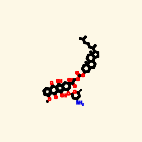 COc1cccc2c1C(=O)c1c(O)c3c(c(O)c1C2=O)C[C@](O)(C(=O)COC(=O)OC1CCC2(C)C(=CCC4C2CCC2(C)C(C(C)CCCC(C)C)CCC42)C1)C[C@H]3O[C@@H]1C[C@@H](N)C[C@@H](C)O1